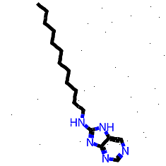 CCCCCCCCCCCCNc1nc2ncncc2[nH]1